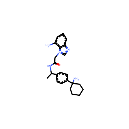 CC(NC(=O)Cn1cnc2cccc(N)c21)c1ccc(C2(N)CCCCC2)cc1